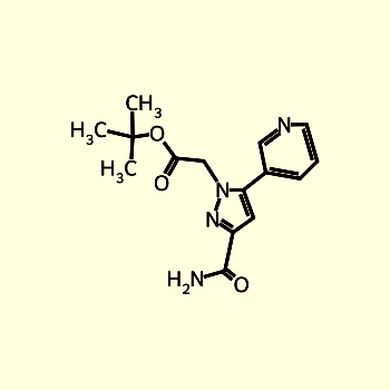 CC(C)(C)OC(=O)Cn1nc(C(N)=O)cc1-c1cccnc1